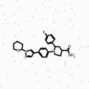 NC(=O)C1CCN(c2ccc(-c3cnn(C4CCCCO4)c3)cc2)C(c2ccc(F)cc2)C1